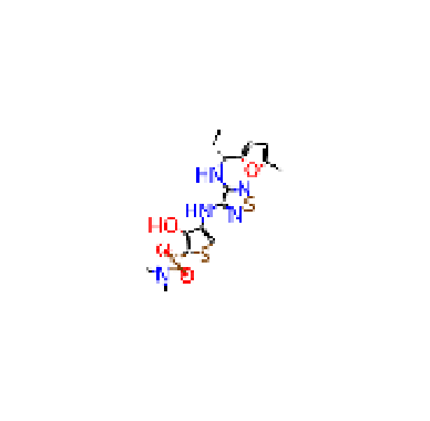 CC[C@@H](Nc1nsnc1Nc1csc(S(=O)(=O)N(C)C)c1O)c1ccc(C)o1